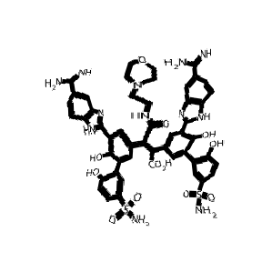 N=C(N)c1ccc2[nH]c(-c3cc(C(C(=O)O)C(C(=O)NCCN4CCOCC4)c4cc(-c5nc6cc(C(=N)N)ccc6[nH]5)c(O)c(-c5cc(S(N)(=O)=O)ccc5O)c4)cc(-c4cc(S(N)(=O)=O)ccc4O)c3O)nc2c1